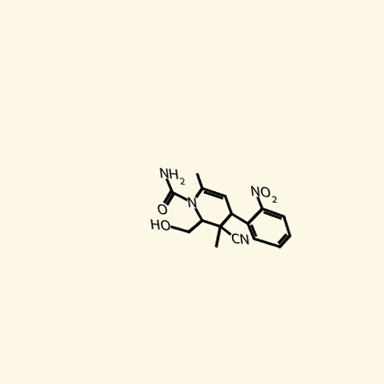 CC1=CC(c2ccccc2[N+](=O)[O-])C(C)(C#N)C(CO)N1C(N)=O